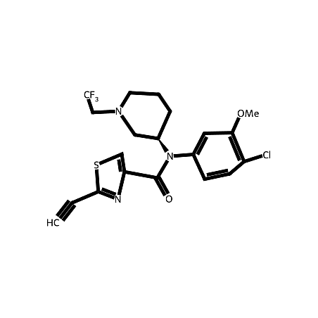 C#Cc1nc(C(=O)N(c2ccc(Cl)c(OC)c2)[C@@H]2CCCN(CC(F)(F)F)C2)cs1